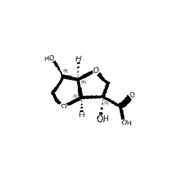 O=C(O)[C@]1(O)CO[C@@H]2[C@H](O)CO[C@@H]21